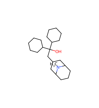 CN1C2CCCC1CC(CC(O)(C1CCCCC1)C1CCCCC1)C2